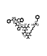 CCC(C)C(C(CC(=O)N1CCC[C@H]1C(OC)C(C)C(=O)NC(Cc1ccccc1)c1nnc(-c2ccccc2)o1)OC)N(C)C(=O)C(NC(=O)C(C(C)C)N(C)CCCCCCNC(=O)OCc1ccccc1)C(C)C